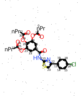 CCCC(=O)Oc1cc(C(=O)Nc2nc(-c3ccc(Cl)cc3)cs2)cc(OC(=O)CCC)c1OC(=O)CCC